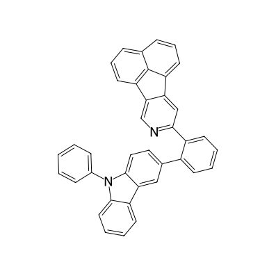 c1ccc(-n2c3ccccc3c3cc(-c4ccccc4-c4cc5c(cn4)-c4cccc6cccc-5c46)ccc32)cc1